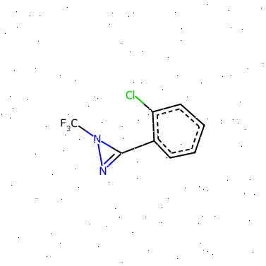 FC(F)(F)N1N=C1c1[c]cccc1Cl